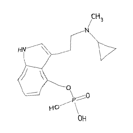 CN(CCc1c[nH]c2cccc(OP(=O)(O)O)c12)C1CC1